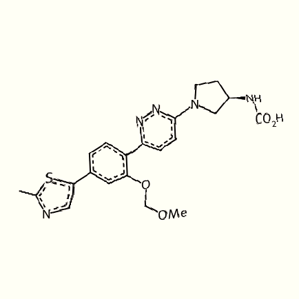 COCOc1cc(-c2cnc(C)s2)ccc1-c1ccc(N2CC[C@@H](NC(=O)O)C2)nn1